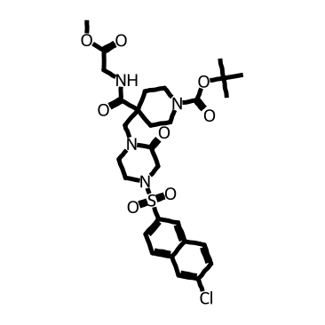 COC(=O)CNC(=O)C1(CN2CCN(S(=O)(=O)c3ccc4cc(Cl)ccc4c3)CC2=O)CCN(C(=O)OC(C)(C)C)CC1